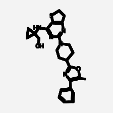 Cc1oc(C2CCN(c3nc4c(c(NC5(CO)CC5)n3)SCC4)CC2)nc1-c1ccccc1